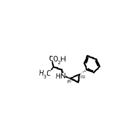 CC(CN[C@@H]1C[C@H]1c1ccccc1)C(=O)O